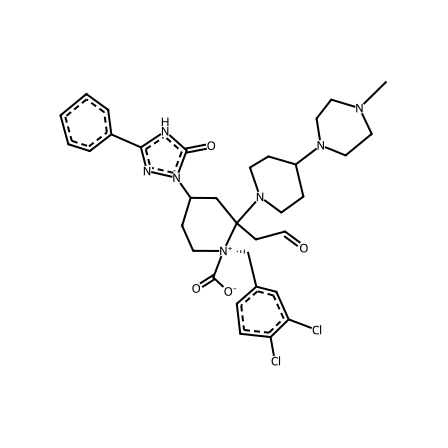 CN1CCN(C2CCN(C3(CC=O)CC(n4nc(-c5ccccc5)[nH]c4=O)CC[N@+]3(Cc3ccc(Cl)c(Cl)c3)C(=O)[O-])CC2)CC1